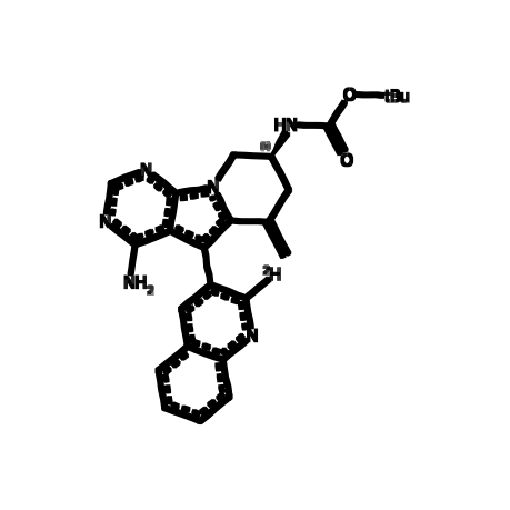 [2H]c1nc2ccccc2cc1-c1c2n(c3ncnc(N)c13)C[C@@H](NC(=O)OC(C)(C)C)CC2=C